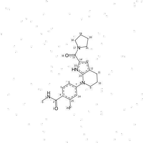 CNC(=O)c1ccc(N2CCCc3cc(C(=O)N4CCCC4)[nH]c32)cc1F